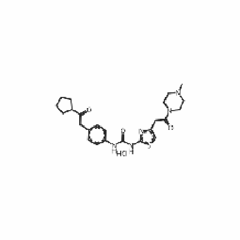 CN1CCN(C(=O)Cc2csc(NC(=O)Nc3ccc(CC(=O)C4CCCC4)cc3)n2)CC1.Cl